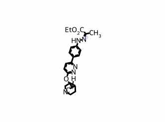 CCOC(=O)/C(C)=N\Nc1ccc(-c2ccc(O[C@H]3CN4CCC3CC4)nn2)cc1